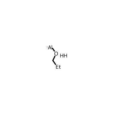 CCC[O][Al].[HH]